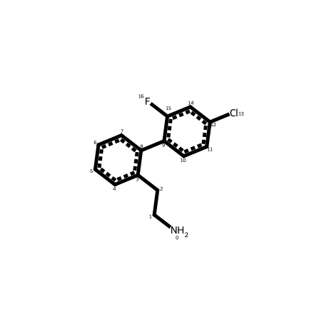 NCCc1ccccc1-c1ccc(Cl)cc1F